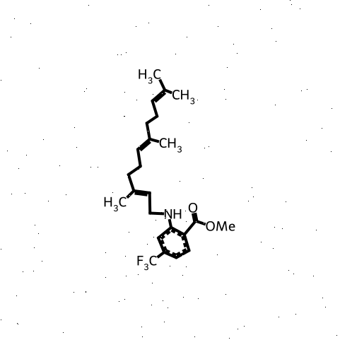 COC(=O)c1ccc(C(F)(F)F)cc1NC/C=C(\C)CC/C=C(\C)CCC=C(C)C